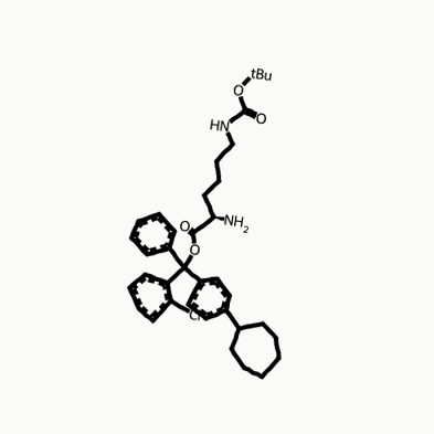 CC(C)(C)OC(=O)NCCCC[C@@H](N)C(=O)OC(c1ccccc1)(c1ccc(C2CCCCCC2)cc1)c1ccccc1Cl